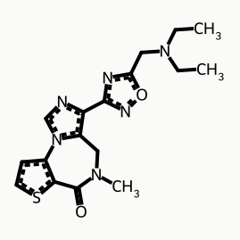 CCN(CC)Cc1nc(-c2ncn3c2CN(C)C(=O)c2sccc2-3)no1